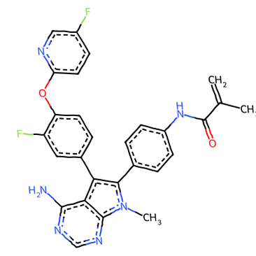 C=C(C)C(=O)Nc1ccc(-c2c(-c3ccc(Oc4ccc(F)cn4)c(F)c3)c3c(N)ncnc3n2C)cc1